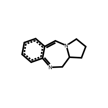 C1=c2ccccc2=NCC2CCCN12